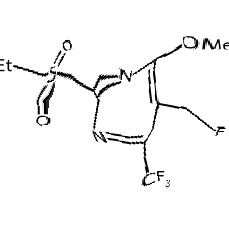 CCS(=O)(=O)c1nc(OC)c(F)c(C(F)(F)F)n1